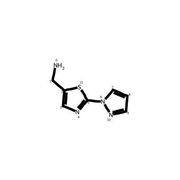 NCc1cnc(-n2cccn2)s1